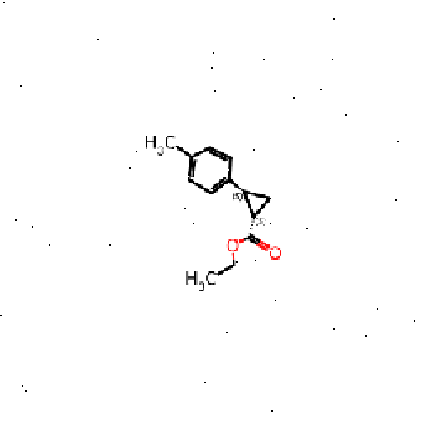 CCOC(=O)[C@H]1C[C@@H]1c1ccc(C)cc1